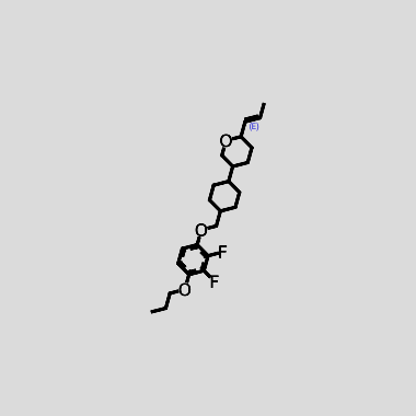 C/C=C/C1CCC(C2CCC(COc3ccc(OCCC)c(F)c3F)CC2)CO1